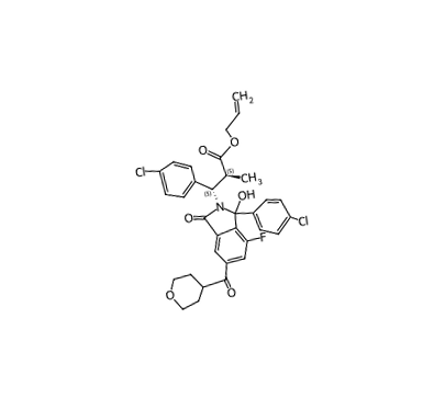 C=CCOC(=O)[C@@H](C)[C@@H](c1ccc(Cl)cc1)N1C(=O)c2cc(C(=O)C3CCOCC3)cc(F)c2C1(O)c1ccc(Cl)cc1